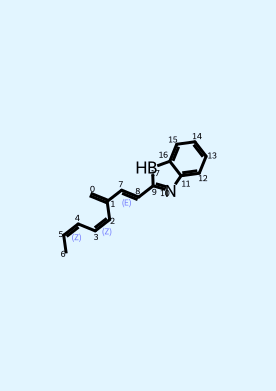 C=C(/C=C\C=C/C)/C=C/C1=Nc2ccccc2B1